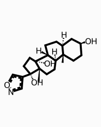 C[C@]12CC[C@H](O)C[C@@H]1CC[C@@H]1[C@@H]2CC[C@@]2(C)[C@@]1(O)CC[C@]2(O)c1cnoc1